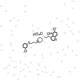 COc1cccc(SCCCN2CC[C@@H](CC[C@H](O)c3ccnc4ccc(OC)cc34)[C@@H](C(=O)O)C2)c1